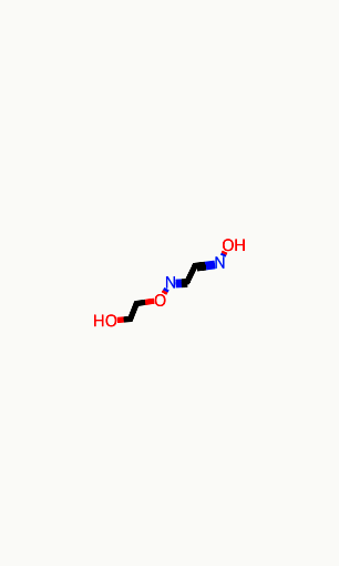 OCCON=CC=NO